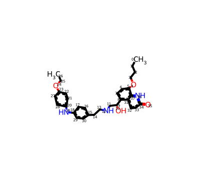 CCCCOc1ccc([C@@H](O)CNCCc2ccc(Nc3ccc(OCC)cc3)cc2)c2ccc(=O)[nH]c12